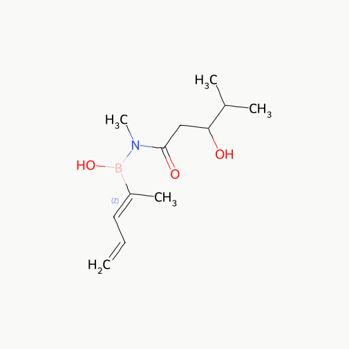 C=C/C=C(\C)B(O)N(C)C(=O)CC(O)C(C)C